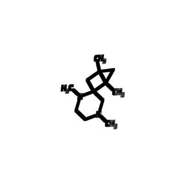 CN1CCN(C)C2(C1)CC1(C)CC12C